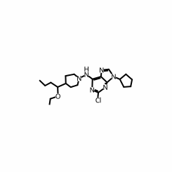 CCCC(OCC)C1CCN(Nc2nc(Cl)nc3c2ncn3C2CCCC2)CC1